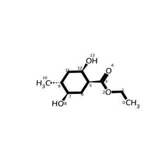 CCOC(=O)[C@H]1C[C@@H](O)[C@H](C)C[C@H]1O